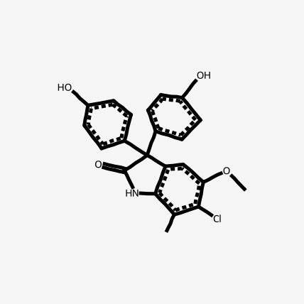 COc1cc2c(c(C)c1Cl)NC(=O)C2(c1ccc(O)cc1)c1ccc(O)cc1